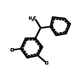 CC(c1ccccc1)c1cc(Cl)cc(Cl)c1